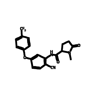 CN1C(=O)CCC1C(=O)Nc1cc(Oc2ccc(C(F)(F)F)cc2)ccc1C#N